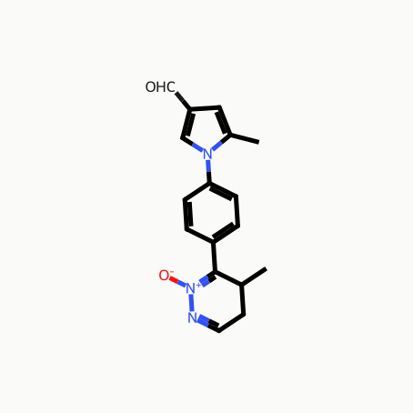 Cc1cc(C=O)cn1-c1ccc(C2=[N+]([O-])N=CCC2C)cc1